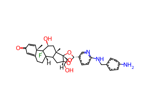 C[C@]12C=CC(=O)C=C1CC[C@H]1C3C[C@H]4O[C@@H](c5ccc(NCc6ccc(N)cc6)nc5)O[C@@]4(C(=O)CO)[C@@]3(C)C[C@H](O)[C@@]12F